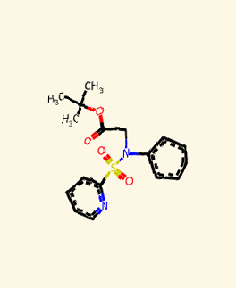 CC(C)(C)OC(=O)CN(c1ccccc1)S(=O)(=O)c1ccccn1